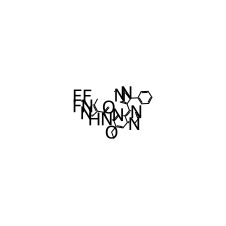 COc1cc2ncnc(-c3cn(C)nc3-c3ccccc3)c2nc1NC(=O)c1cnn(C(F)(F)F)c1C